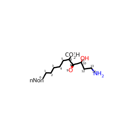 CCCCCCCCCCCCCCC(C(=O)O)C(=O)C(O)CCN